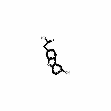 O=C(O)Cc1ccc2c(c1)oc1ccc(O)cc12